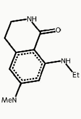 CCNc1cc(NC)cc2c1C(=O)NCC2